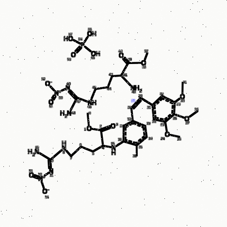 COC(=O)C(CCCNC(N)=N[N+](=O)[O-])Nc1cc(/C=C\c2cc(OC)c(OC)c(OC)c2)ccc1C.COC(=O)C(N)CCCNC(N)=N[N+](=O)[O-].O=P(O)(O)O